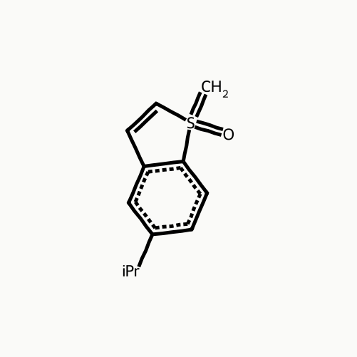 C=S1(=O)C=Cc2cc(C(C)C)ccc21